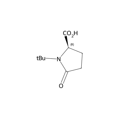 CC(C)(C)N1C(=O)CC[C@@H]1C(=O)O